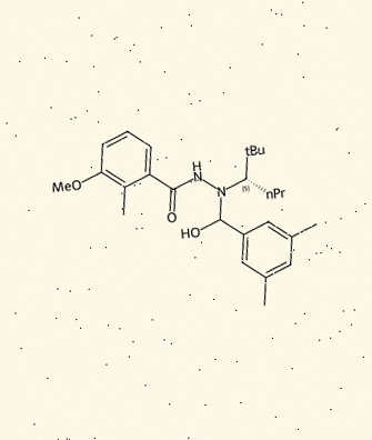 CCC[C@H](N(NC(=O)c1cccc(OC)c1C)C(O)c1cc(C)cc(C)c1)C(C)(C)C